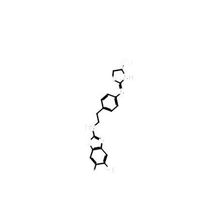 C[C@@H]1CS/C(=N\c2ccc(CCNc3nc4cc(Cl)c(Cl)cc4s3)cc2)N1